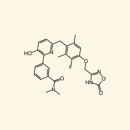 Cc1cc(OCc2noc(=O)[nH]2)c(F)c(C)c1Cc1ccc(O)c(-c2cccc(C(=O)N(C)C)c2)n1